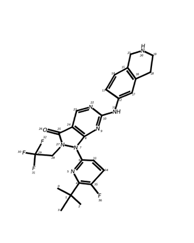 CC(C)(C)c1nc(-n2c3nc(Nc4ccc5c(c4)CCNC5)ncc3c(=O)n2CC(F)(F)F)ccc1F